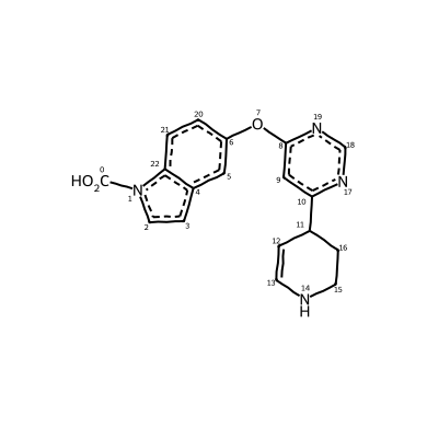 O=C(O)n1ccc2cc(Oc3cc(C4C=CNCC4)ncn3)ccc21